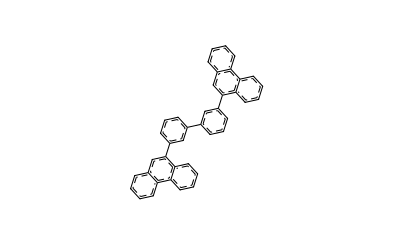 c1cc(-c2cccc(-c3cc4ccccc4c4ccccc34)c2)cc(-c2cc3ccccc3c3ccccc23)c1